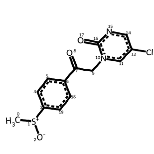 C[S+]([O-])c1ccc(C(=O)Cn2cc(Cl)cnc2=O)cc1